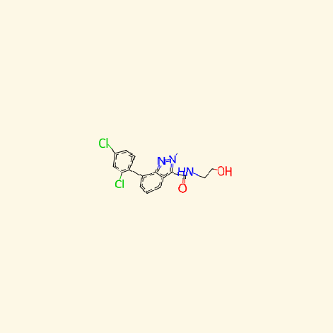 Cn1nc2c(-c3ccc(Cl)cc3Cl)cccc2c1C(=O)NCCO